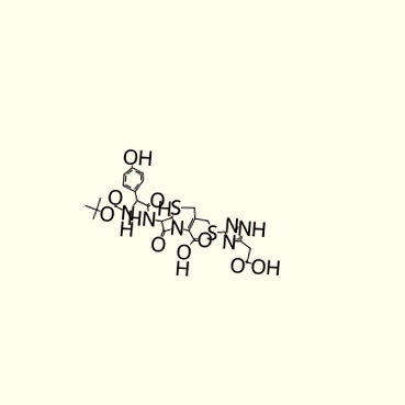 CC(C)(C)OC(=O)NC(C(=O)NC1C(=O)N2C(C(=O)O)=C(CSc3n[nH]c(CC(=O)O)n3)CS[C@H]12)c1ccc(O)cc1